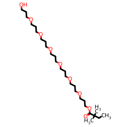 CCC(C)(C)C(=O)OCCCOCCCOCCCOCCCOCCCOCCCOCCCO